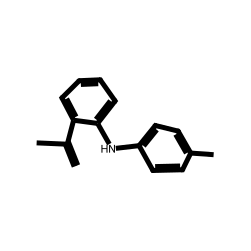 C=C(C)c1ccccc1Nc1ccc(C)cc1